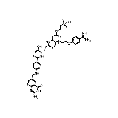 N=C(N)c1ccc(OCCNC(=O)[C@H](CC(=O)NCCS(=O)(=O)O)NC(=O)CC[C@H](NC(=O)c2ccc(NCc3cnc4nc(N)[nH]c(=O)c4n3)cc2)C(=O)O)cc1